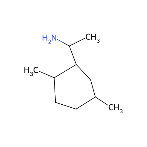 CC1CCC(C)C(C(C)N)C1